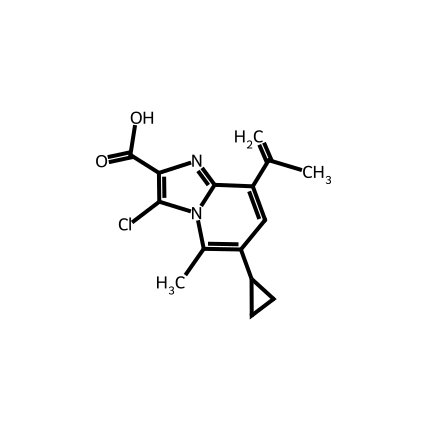 C=C(C)c1cc(C2CC2)c(C)n2c(Cl)c(C(=O)O)nc12